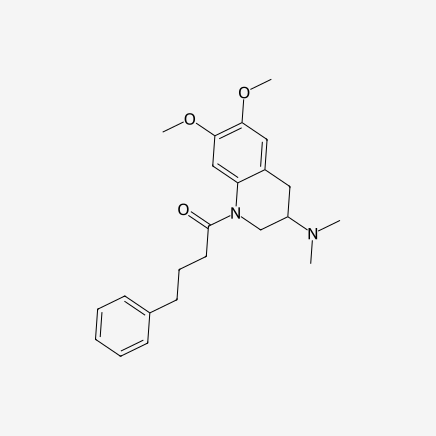 COc1cc2c(cc1OC)N(C(=O)CCCc1ccccc1)CC(N(C)C)C2